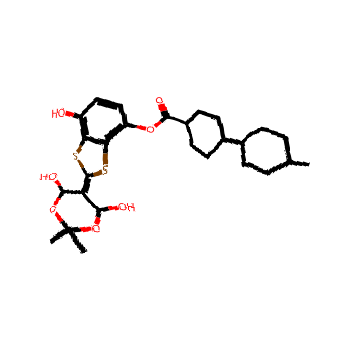 CC1CCC(C2CCC(C(=O)Oc3ccc(O)c4c3SC(=C3C(O)OC(C)(C)OC3O)S4)CC2)CC1